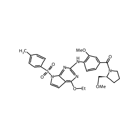 CCOc1nc(Nc2ccc(C(=O)N3CCC[C@H]3COC)cc2OC)nc2c1ccn2S(=O)(=O)c1ccc(C)cc1